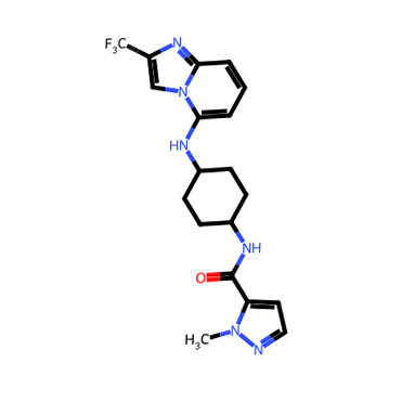 Cn1nccc1C(=O)NC1CCC(Nc2cccc3nc(C(F)(F)F)cn23)CC1